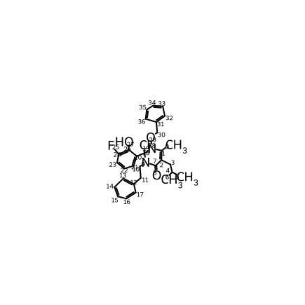 CC1=C(CC(C)C)C(=O)N(CCc2ccccc2)C(Cl)(c2cccc(F)c2O)N1OCc1ccccc1